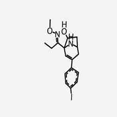 CCC(=NOC)C12C=C(c3ccc(I)cc3)CC(CC1O)N2